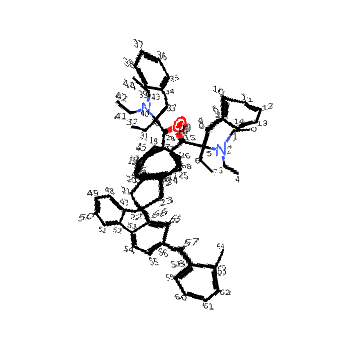 CCN(CC)C(CC)(Cc1ccccc1)C(=O)c1ccc(CC2(Cc3ccc(C(=O)C(CC)(Cc4ccccc4)N(CC)CC)cc3)c3ccccc3-c3ccc(Cc4ccccc4C)cc32)cc1